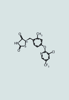 Cc1cc(Oc2ncc(C(F)(F)F)cc2Cl)ccc1C[C@H]1SC(=O)NC1=O